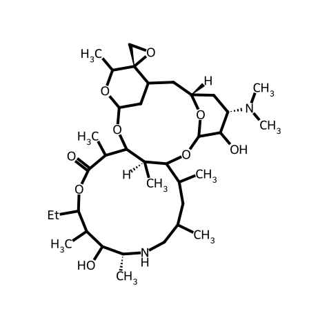 CCC1OC(=O)C(C)C2OC3CC(C[C@@H]4C[C@H](N(C)C)C(O)C(OC(C(C)CC(C)CN[C@H](C)C(O)C1C)[C@H]2C)O4)[C@]1(CO1)C(C)O3